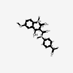 CSc1ccc2c(c1)c(O)c(C(=O)N(C)c1ccc(C(C)=O)cc1)c(=O)n2C